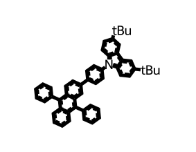 CC(C)(C)c1ccc2c(c1)c1cc(C(C)(C)C)ccc1n2-c1ccc(-c2ccc3c(-c4ccccc4)c4ccccc4c(-c4ccccc4)c3c2)cc1